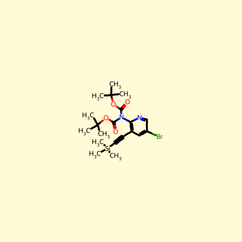 CC(C)(C)OC(=O)N(C(=O)OC(C)(C)C)c1ncc(Br)cc1C#C[Si](C)(C)C